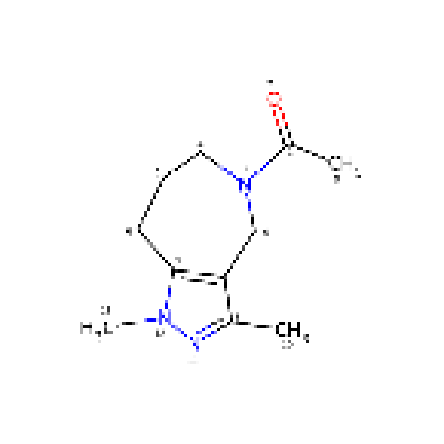 CC(=O)N1CCCc2c(c(C)nn2C)C1